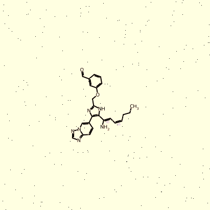 CCC/C=C\C=C(/N)c1[nH]c(COc2cccc(C=O)c2)nc1-c1ccc2ncnn2c1